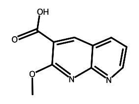 COc1nc2ncccc2cc1C(=O)O